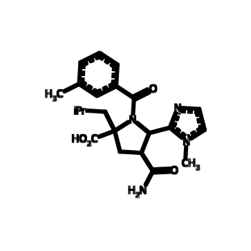 Cc1cccc(C(=O)N2C(c3nccn3C)C(C(N)=O)CC2(CC(C)C)C(=O)O)c1